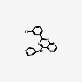 Clc1cccc(-c2nc(Nc3ccncc3)c3nccnc3n2)c1